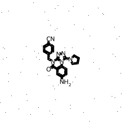 N#Cc1ccc(Cn2c(=O)c3cc(N)ccc3n3c(N4CCCC4)nnc23)cc1